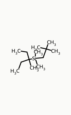 CCC(C)(CC)[Si](C)(C)CC(C)(C)C